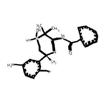 CC1(C)C(NC(=O)c2ccccc2)=N[C@](C)(c2cc(N)ccc2F)CS1(O)O